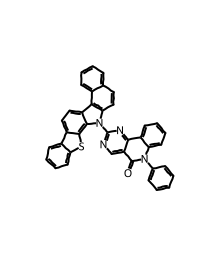 O=c1c2cnc(-n3c4ccc5ccccc5c4c4ccc5c6ccccc6sc5c43)nc2c2ccccc2n1-c1ccccc1